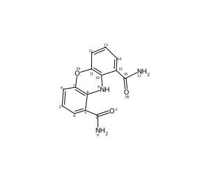 NC(=O)c1cccc2c1Nc1c(cccc1C(N)=O)O2